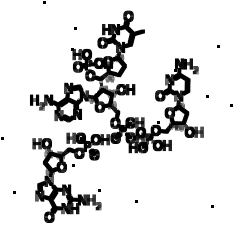 Cc1cn([C@H]2CC[C@@H](C(OP(=O)(O)O)[C@@H]3[C@H](O)[C@@H](COP(=O)(O)O)O[C@H]3n3cnc4c(N)ncnc43)O2)c(=O)[nH]c1=O.Nc1ccn([C@H]2C[C@H](O)[C@@H](COP(=O)(O)O)O2)c(=O)n1.Nc1nc2c(ncn2[C@H]2C[C@H](O)[C@@H](COP(=O)(O)O)O2)c(=O)[nH]1